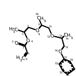 C=CC(=O)OC(C)COC(C)COC(C)COc1ccccc1